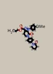 C=CCOC(=O)c1nn(-c2ccc(OC)cc2)c2c1CCN(c1ccc(N3CCCCC3=O)cc1)C2=O